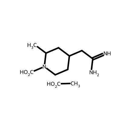 CC(=O)O.CC1CC(CC(=N)N)CCN1C(=O)O